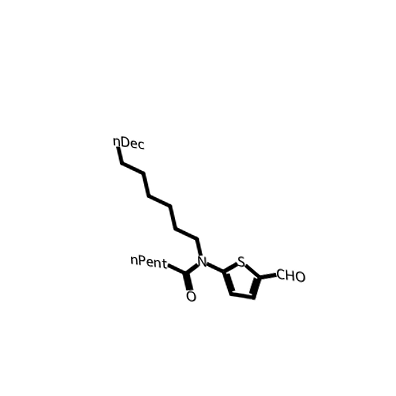 CCCCCCCCCCCCCCCCN(C(=O)CCCCC)c1ccc(C=O)s1